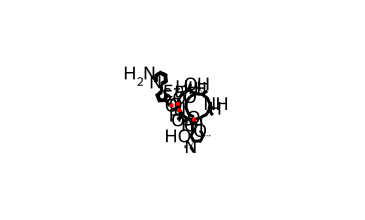 CC[C@H]1OC(=O)[C@H](C)C(=O)[C@H](C)[C@@H](O[C@@H]2O[C@H](C)C[C@H](N(C)C)[C@H]2O)[C@@]2(C)C[C@@H](C)NC[C@H](C)[C@@H](OC/C(=N\OCc3ccc(-c4cccc(N)n4)s3)CO2)[C@]1(C)O